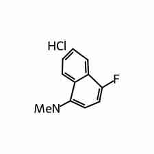 CNc1ccc(F)c2ccccc12.Cl